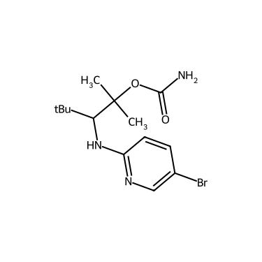 CC(C)(C)C(Nc1ccc(Br)cn1)C(C)(C)OC(N)=O